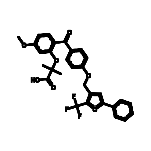 COc1ccc(C(=O)c2ccc(OCc3cc(-c4ccccc4)oc3C(F)(F)F)cc2)c(OC(C)(C)C(=O)O)c1